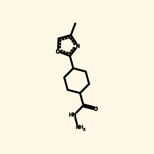 Cc1coc(C2CCC(C(=O)NN)CC2)n1